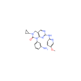 COc1ccc(Nc2ncc3c(n2)N(c2cccc(N)c2)C(=O)N(C2CC2)C3)nc1